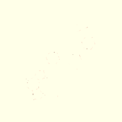 C[C@H](NC(=O)c1cccc(S(C)(=O)=O)c1)c1cccc(-c2nc3c(ncc4ncn(C)c43)s2)c1